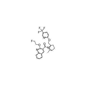 CC1C2CCC(COc3ccc(C(F)(F)F)cn3)(C2)N1C(=O)c1cc2ccccc2nc1OCCF